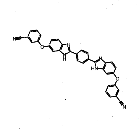 N#Cc1cccc(Oc2ccc3nc(-c4ccc(-c5nc6ccc(Oc7cccc(C#N)c7)cc6[nH]5)cc4)[nH]c3c2)c1